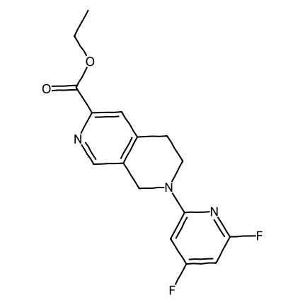 CCOC(=O)c1cc2c(cn1)CN(c1cc(F)cc(F)n1)CC2